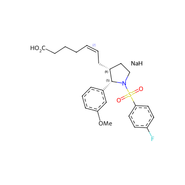 COc1cccc([C@@H]2[C@H](C/C=C\CCCC(=O)O)CCN2S(=O)(=O)c2ccc(F)cc2)c1.[NaH]